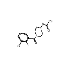 CC(C)(C)C(=O)ON1CCN(C(=O)c2cccc(Cl)c2F)CC1